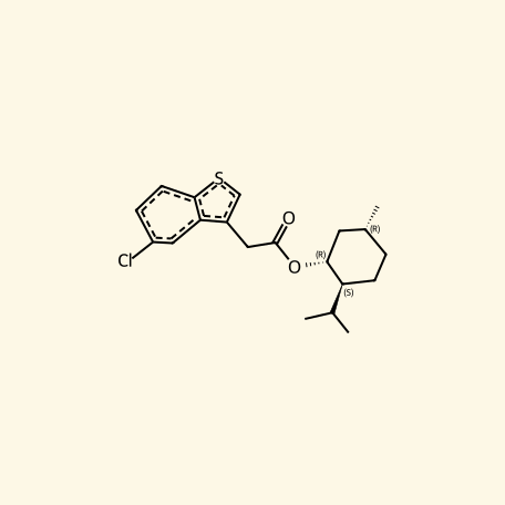 CC(C)[C@@H]1CC[C@@H](C)C[C@H]1OC(=O)Cc1csc2ccc(Cl)cc12